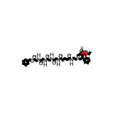 CCC(=O)N(c1ccccc1)C1(C(=O)OC)CCN(CCNC(=O)CCCC(=O)NCC(=O)NCC(=O)NCC(=O)NCC(=O)OCc2ccccc2)CC1